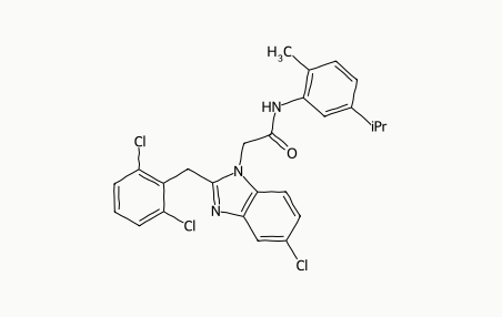 Cc1ccc(C(C)C)cc1NC(=O)Cn1c(Cc2c(Cl)cccc2Cl)nc2cc(Cl)ccc21